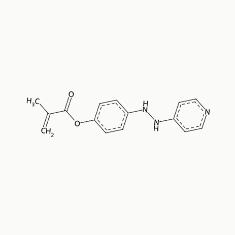 C=C(C)C(=O)Oc1ccc(NNc2ccncc2)cc1